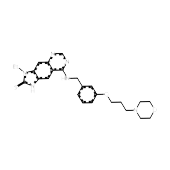 CCn1c(=S)[nH]c2cc3c(NCc4cccc(OCCCN5CCOCC5)c4)ncnc3cc21